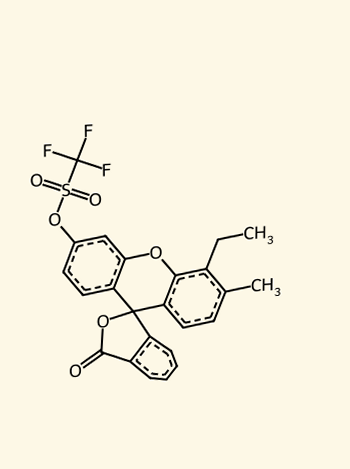 CCc1c(C)ccc2c1Oc1cc(OS(=O)(=O)C(F)(F)F)ccc1C21OC(=O)c2ccccc21